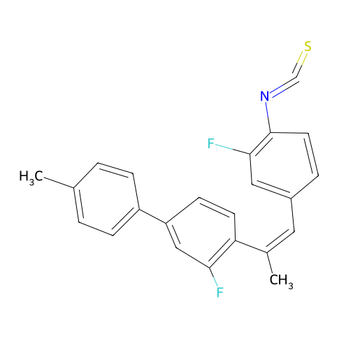 CC(=Cc1ccc(N=C=S)c(F)c1)c1ccc(-c2ccc(C)cc2)cc1F